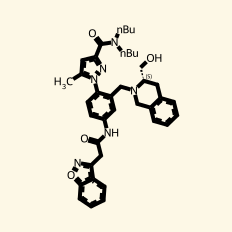 CCCCN(CCCC)C(=O)c1cc(C)n(-c2ccc(NC(=O)Cc3noc4ccccc34)cc2CN2Cc3ccccc3C[C@H]2CO)n1